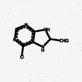 O=CC1Nc2ncnc(Cl)c2N1